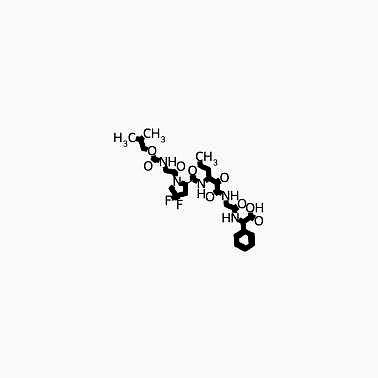 CCCC(NC(=O)[C@@H]1CC(F)(F)CN1C(=O)CNC(=O)OCC(C)C)C(=O)C(=O)NCC(=O)NC(C(=O)O)c1ccccc1